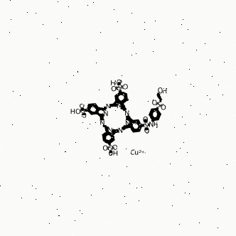 O=S(=O)(O)c1ccc2c(c1)-c1nc3nc(nc4[n-]c(nc5[n-]c(nc-2n1)c1cc(S(=O)(=O)O)ccc51)c1cc(S(=O)(=O)Nc2ccc(S(=O)(=O)CCO)cc2)ccc41)-c1cc(S(=O)(=O)O)ccc1-3.[Cu+2]